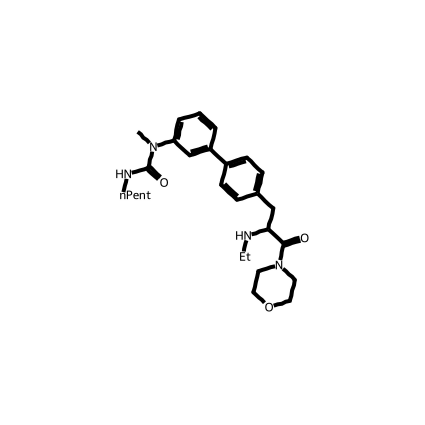 CCCCCNC(=O)N(C)c1cccc(-c2ccc(CC(NCC)C(=O)N3CCOCC3)cc2)c1